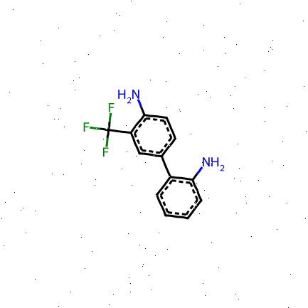 Nc1ccccc1-c1ccc(N)c(C(F)(F)F)c1